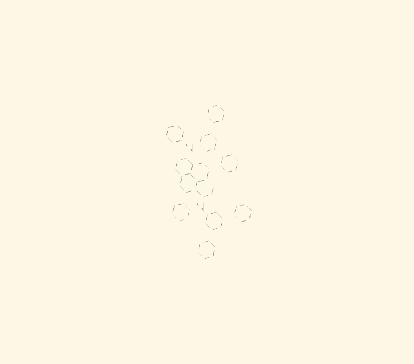 Cc1ccc(N(c2cc(-c3ccccc3C)cc(-c3ccccc3C)c2)c2ccc3ccc4c(N(c5cc(-c6ccccc6C)cc(-c6ccccc6C)c5)c5ccc(C)cc5C)ccc5ccc2c3c54)c(C)c1